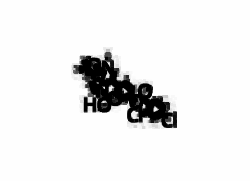 CN(CC(c1ccc(OC(=O)c2ccc(Cl)cc2Cl)cc1)c1nccn1C(=O)O)C(=O)OC(C)(C)C